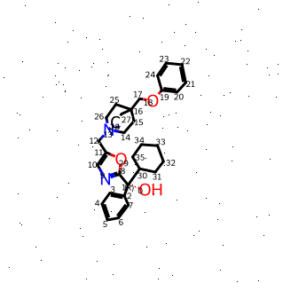 O[C@](c1ccccc1)(c1ncc(C[N+]23CCC(COc4ccccc4)(CC2)CC3)o1)C1CCCCC1